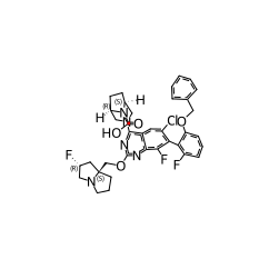 O=C(O)N1[C@@H]2CC[C@H]1CN(c1nc(OC[C@@]34CCCN3C[C@H](F)C4)nc3c(F)c(-c4c(F)cccc4OCc4ccccc4)c(Cl)cc13)C2